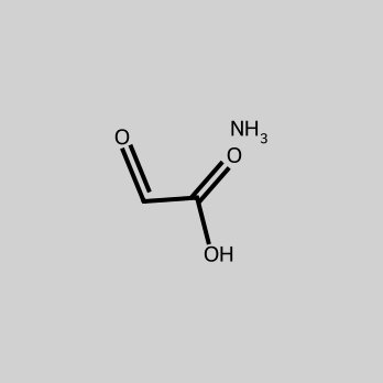 N.O=CC(=O)O